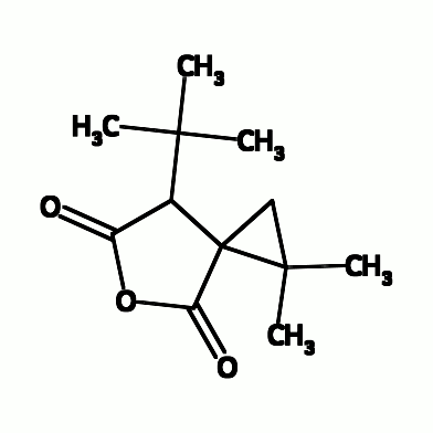 CC(C)(C)C1C(=O)OC(=O)C12CC2(C)C